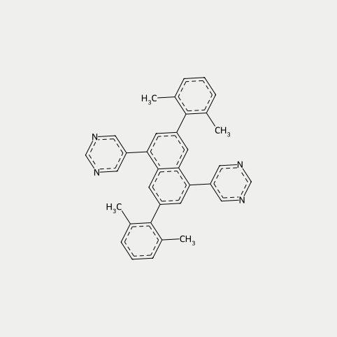 Cc1cccc(C)c1-c1cc(-c2cncnc2)c2cc(-c3c(C)cccc3C)cc(-c3cncnc3)c2c1